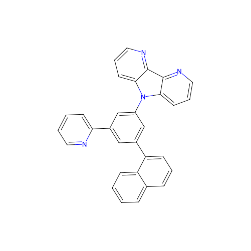 c1ccc(-c2cc(-c3cccc4ccccc34)cc(-n3c4cccnc4c4ncccc43)c2)nc1